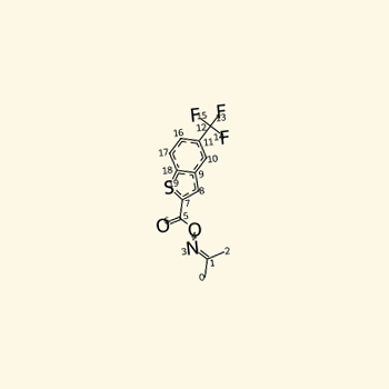 CC(C)=NOC(=O)c1cc2cc(C(F)(F)F)ccc2s1